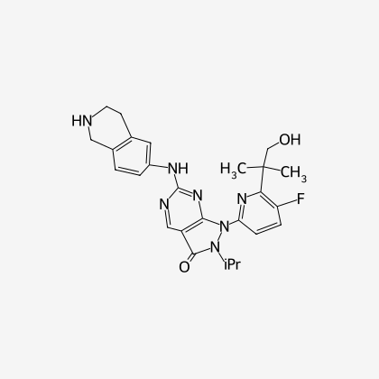 CC(C)n1c(=O)c2cnc(Nc3ccc4c(c3)CCNC4)nc2n1-c1ccc(F)c(C(C)(C)CO)n1